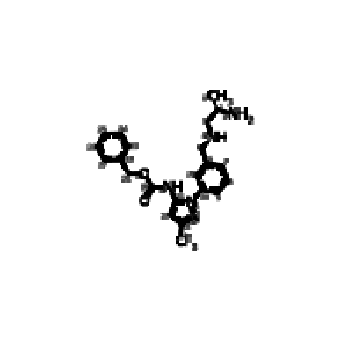 C[C@H](N)CNCc1cccc(-n2nc(C(F)(F)F)cc2NC(=O)OCc2ccccc2)c1